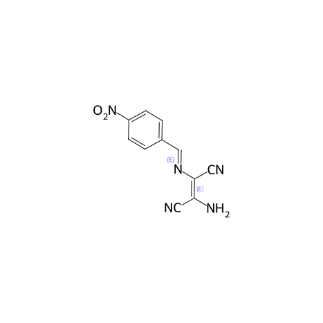 N#C/C(N)=C(C#N)\N=C\c1ccc([N+](=O)[O-])cc1